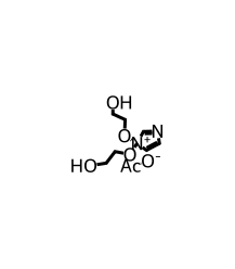 CC(=O)[O-].OCCO[N+]1(OCCO)C=CN=C1